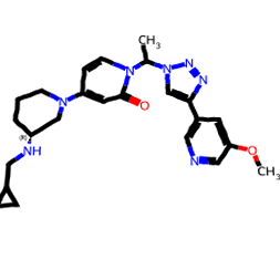 COc1cncc(-c2cn(C(C)n3ccc(N4CCC[C@@H](NCC5CC5)C4)cc3=O)nn2)c1